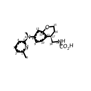 Cc1cccc(N(C)c2ccc3c(c2)OCC[C@H]3CNC(=O)O)n1